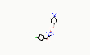 CN(C)C1CCC(COc2ncc(C(=O)c3ccc(Cl)cc3)n2C)CC1